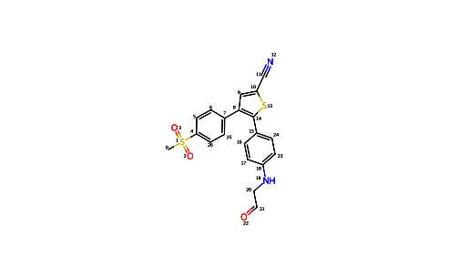 CS(=O)(=O)c1ccc(-c2cc(C#N)sc2-c2ccc(NCC=O)cc2)cc1